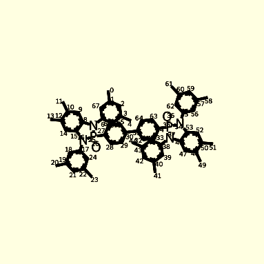 Cc1cc(C)cc(N2c3cc(C)c(C)cc3N(c3cc(C)cc(C)c3)P2(=O)c2ccc(-c3ccc(P4(=O)N(c5cc(C)cc(C)c5)c5cc(C)c(C)cc5N4c4cc(C)cc(C)c4)cc3)cc2)c1